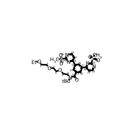 CCOCCOCCOCCN(C(=O)c1cc(-c2ccnc(S(C)(=O)=O)n2)cc(-c2ccnc(S(C)(=O)=O)n2)c1)C(C)(C)C